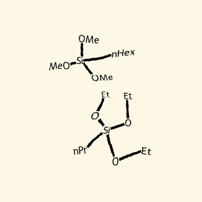 CCCCCC[Si](OC)(OC)OC.CCC[Si](OCC)(OCC)OCC